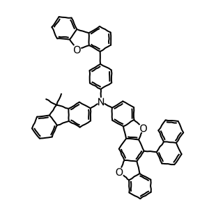 CC1(C)c2ccccc2-c2ccc(N(c3ccc(-c4cccc5c4oc4ccccc45)cc3)c3ccc4oc5c(-c6cccc7ccccc67)c6c(cc5c4c3)oc3ccccc36)cc21